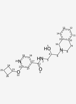 O=C(NCC(O)CN1CCc2ccccc2C1)c1ccnc(OC2CCC2)c1